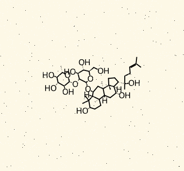 CC(C)=CCCC(C)(O)[C@H]1CC[C@]2(C)[C@@H]1[C@H](O)C[C@@H]1[C@@]3(C)CC[C@H](O)C(C)(C)[C@@H]3[C@@H](O[C@@H]3O[C@H](CO)[C@@H](O)[C@H](O)[C@H]3O[C@H]3O[C@@H](C)[C@H](O)[C@@H](O)[C@@H]3O)C[C@]12C